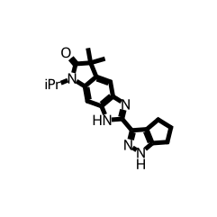 CC(C)N1C(=O)C(C)(C)c2cc3nc(-c4n[nH]c5c4CCC5)[nH]c3cc21